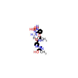 Cc1ncn(-c2cc(C(=O)NC(C)(C)COc3cccc4c3C(N)=NS(O)(O)N4)ccn2)c1CO